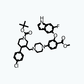 COC(=O)c1ccc(N2CCN(CC3=C(c4ccc(Cl)cc4)CCN(C(=O)OC(C)(C)C)C3)CC2)cc1Oc1cc2cc[nH]c2cc1F